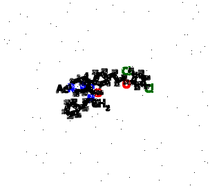 CC(=O)N1CC2CC(c3ccc(CCCOc4cc(Cl)ccc4Cl)cc3)=C(C(=O)N(C)CCc3ccccc3)C(C1)N2